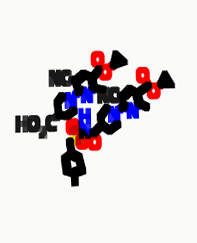 Cc1ccc(CS(=O)(=O)NC(=O)C2CCN(c3nc(C)c(C(=O)OC4CC4)cc3C#N)CC2)cc1.Cc1nc(N2CCC(C(=O)O)CC2)c(C#N)cc1C(=O)OC1CC1